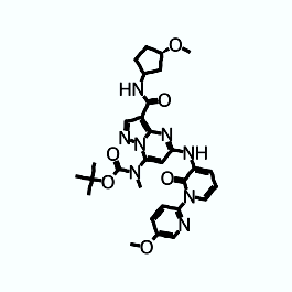 COc1ccc(-n2cccc(Nc3cc(N(C)C(=O)OC(C)(C)C)n4ncc(C(=O)NC5CC[C@@H](OC)C5)c4n3)c2=O)nc1